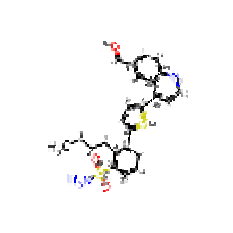 CCCCc1c(-c2ccc(-c3ccnc4ccc(C=O)cc34)s2)cccc1S(N)(=O)=O